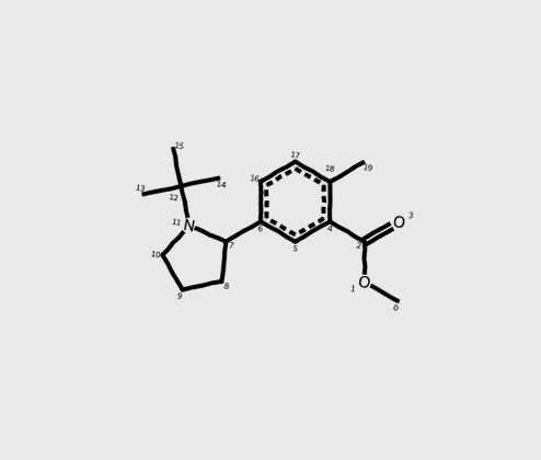 COC(=O)c1cc(C2CCCN2C(C)(C)C)ccc1C